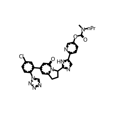 CCCN(C)C(=O)Oc1ccc(-c2cnc(C3CCc4cc(-c5cc(Cl)ccc5-n5cnnn5)cc(=O)n43)[nH]2)nc1